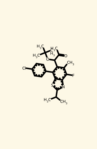 CC(=O)C(OC(C)(C)C)c1c(C)c(F)c2nc(C(C)C)sc2c1-c1ccc(Cl)cc1